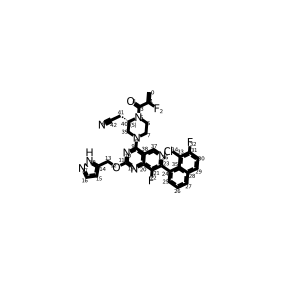 C=C(F)C(=O)N1CCN(c2nc(OCc3ccn[nH]3)nc3c(F)c(-c4cccc5ccc(F)c(Cl)c45)ncc23)C[C@@H]1CC#N